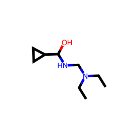 CCN(CC)CNC(O)C1CC1